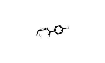 CC=C=NC(=O)c1ccc(Cl)cc1